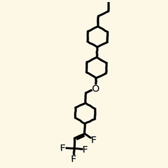 CCCC1CCC(C2CCC(OCC3CCC(/C(F)=C/C(F)(F)F)CC3)CC2)CC1